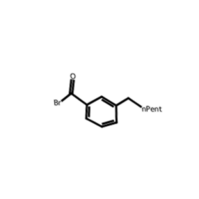 CCCCCCc1cccc(C(=O)Br)c1